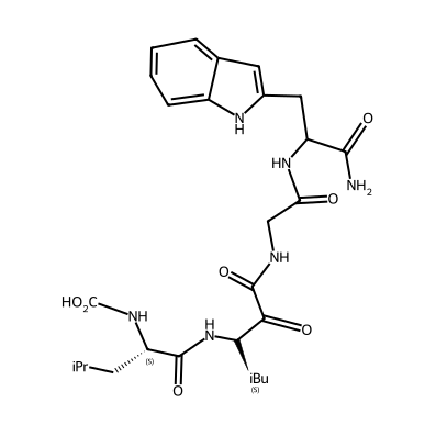 CC[C@H](C)C(NC(=O)[C@H](CC(C)C)NC(=O)O)C(=O)C(=O)NCC(=O)NC(Cc1cc2ccccc2[nH]1)C(N)=O